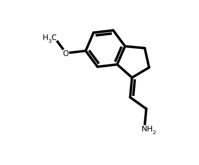 COc1ccc2c(c1)C(=CCN)CC2